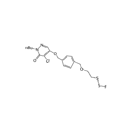 CCCCn1ncc(OCc2ccc(COCCSSF)cc2)c(Cl)c1=O